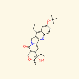 C=C1OCc2c(cc3n(c2=O)Cc2c-3nc3ccc(OC(C)(C)C)cc3c2CC)[C@@]1(O)CC